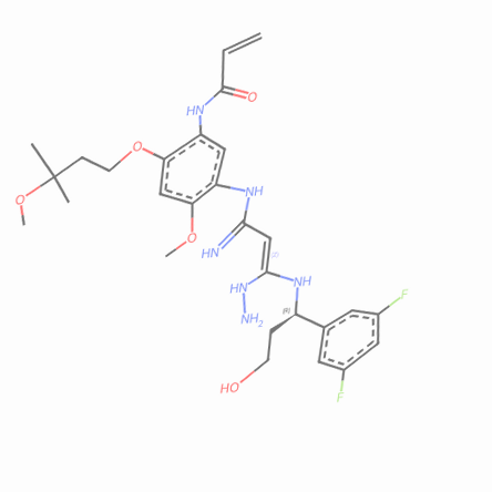 C=CC(=O)Nc1cc(NC(=N)/C=C(\NN)N[C@H](CCO)c2cc(F)cc(F)c2)c(OC)cc1OCCC(C)(C)OC